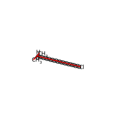 CCCCCCCCC(CCCCCC)C(=O)NCCOCCOCCOCCOCCOCCOCCOCCOCCOCCOCCOCCOCCOCCOCCOCCOCCOCCOCCOCCOCCOCCOCCOCCCl